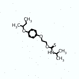 CCC(C)Oc1ccc(OCCOC(=S)NC(C)C)cc1